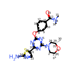 C[C@@H]1CN(c2nc(Oc3ccc(C(=O)N(C)C)cc3)nc(-c3cnc(N)s3)n2)C[C@H](C)O1